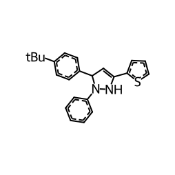 CC(C)(C)c1ccc(C2C=C(c3cccs3)NN2c2ccccc2)cc1